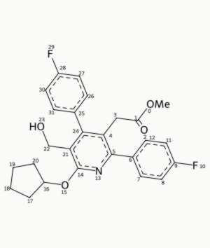 COC(=O)Cc1c(-c2ccc(F)cc2)nc(OC2CCCC2)c(CO)c1-c1ccc(F)cc1